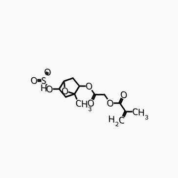 C=C(C)C(=O)OCC(=O)OC1CC2OC1(C)CC2O[SH](=O)=O